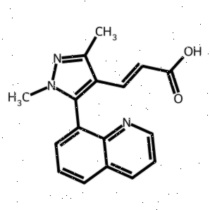 Cc1nn(C)c(-c2cccc3cccnc23)c1C=CC(=O)O